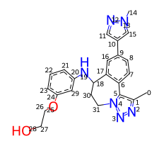 Cc1nnn2c1-c1ccc(-c3cnn(C)c3)cc1C(Nc1cccc(OCCO)c1)CC2